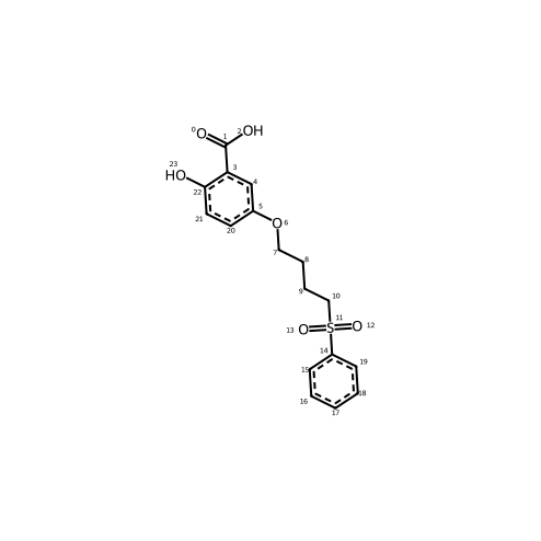 O=C(O)c1cc(OCCCCS(=O)(=O)c2ccccc2)ccc1O